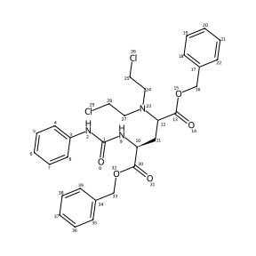 O=C(Nc1ccccc1)N[C@@H](CC(C(=O)OCc1ccccc1)N(CCCl)CCCl)C(=O)OCc1ccccc1